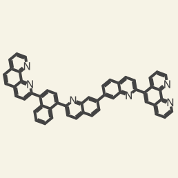 c1cnc2c(c1)ccc1ccc(-c3ccc(-c4ccc5ccc(-c6ccc7ccc(-c8cc9cccnc9c9ncccc89)nc7c6)cc5n4)c4ccccc34)nc12